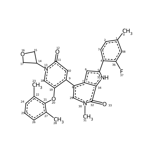 Cc1ccc(-c2cc3c(-c4cc(=O)n(C5COC5)cc4Oc4c(C)cccc4C)cn(C)c(=O)c3[nH]2)c(F)c1